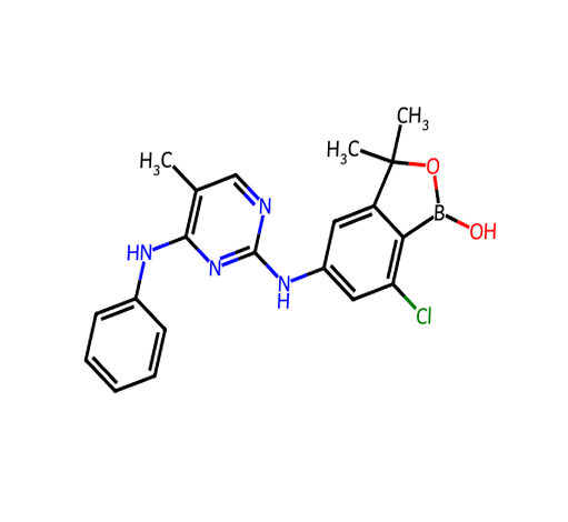 Cc1cnc(Nc2cc(Cl)c3c(c2)C(C)(C)OB3O)nc1Nc1ccccc1